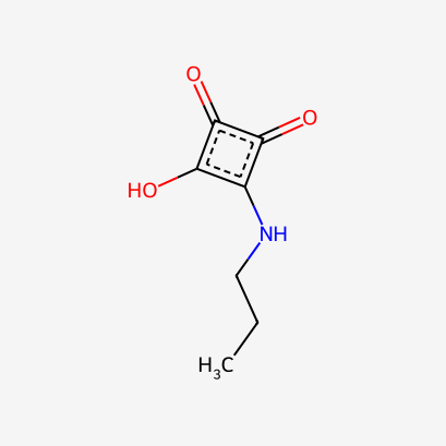 CCCNc1c(O)c(=O)c1=O